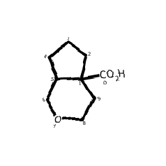 O=C(O)C12CCCC1COCC2